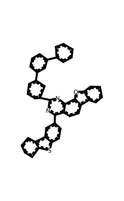 c1ccc(-c2cccc(-c3cccc(-c4nc(-c5ccc6sc7ccccc7c6c5)c5ccc6c7ccccc7oc6c5n4)c3)c2)cc1